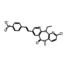 CCN1c2ncc(C=Cc3ccc([N+](=O)[O-])cc3)cc2C(=O)N(C)c2ccc(Cl)nc21